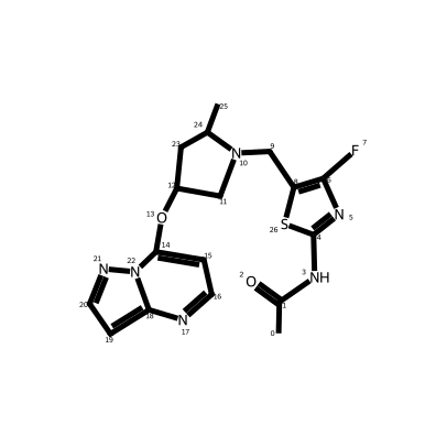 CC(=O)Nc1nc(F)c(CN2CC(Oc3ccnc4ccnn34)CC2C)s1